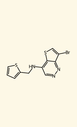 Brc1csc2c(NCc3cccs3)cnnc12